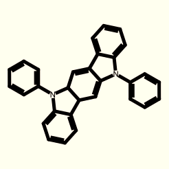 C1=c2c(n(-c3ccccc3)c3ccccc23)=CC2c3ccccc3N(c3ccccc3)C12